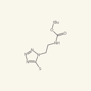 CC(C)(C)OC(=O)NCCn1nnnc1[S]